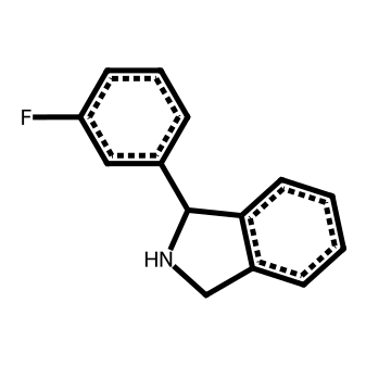 Fc1cccc(C2NCc3ccccc32)c1